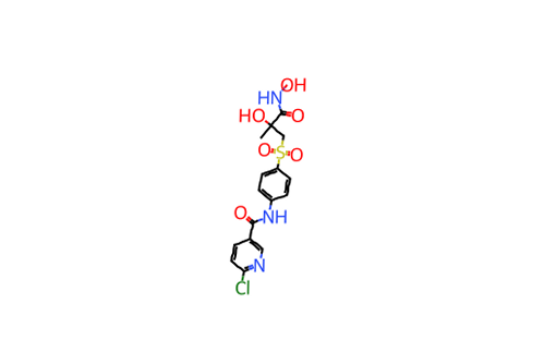 CC(O)(CS(=O)(=O)c1ccc(NC(=O)c2ccc(Cl)nc2)cc1)C(=O)NO